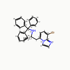 O=C(O)[C@H](Cc1ccc(Br)c2nccn12)NC(c1ccccc1)(c1ccccc1)c1ccccc1